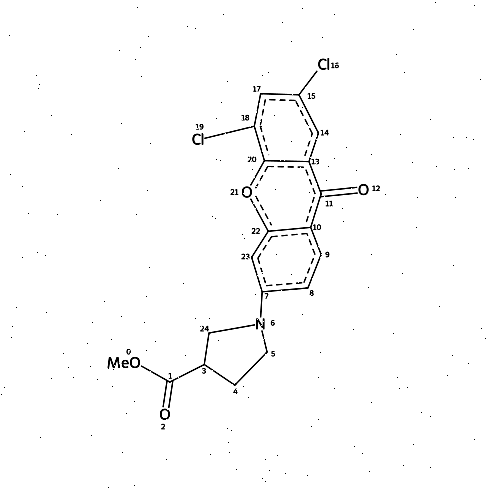 COC(=O)C1CCN(c2ccc3c(=O)c4cc(Cl)cc(Cl)c4oc3c2)C1